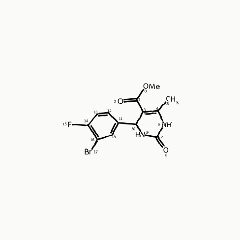 COC(=O)C1=C(C)NC(=O)NC1c1ccc(F)c(Br)c1